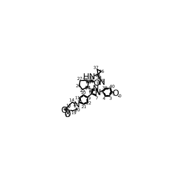 COc1ccc(-n2cc(-c3ccc(N4CCS(=O)(=O)CC4)cc3)c([C@@H]3CCCC[C@H]3C(=O)NC3(C#N)CC3)n2)cc1